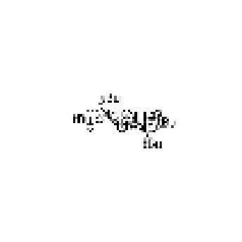 CC(=O)NC1=CC(=[N+](/CC(CCC(C)CC(C)(C)C)C(C)CC(C)(C)C)c2ccc(-c3ccccc3)cc2)/C=CC/1=C1/C(=O)C(c2ccc(N(CC(CCC(C)CC(C)(C)C)C(C)CC(C)(C)C)c3ccc(-c4ccccc4)cc3)cc2NC(C)=O)=C1[O-]